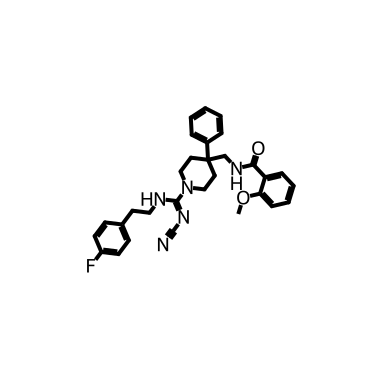 COc1ccccc1C(=O)NCC1(c2ccccc2)CCN(/C(=N/C#N)NCCc2ccc(F)cc2)CC1